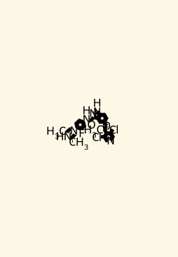 CC(Oc1ccc2[nH]nc(C(=O)Nc3ccc(N4C[C@H](C)N[C@@H](C)C4)c(F)c3)c2c1)c1c(Cl)cncc1Cl